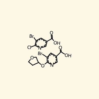 O=C(O)c1cnc(Cl)c(Br)c1.O=C(O)c1cnc(OC2CCOC2)c(Br)c1